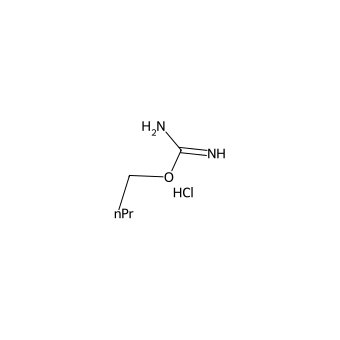 CCCCOC(=N)N.Cl